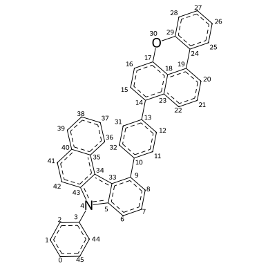 c1ccc(-n2c3cccc(-c4ccc(-c5ccc6c7c(cccc57)-c5ccccc5O6)cc4)c3c3c4ccccc4ccc32)cc1